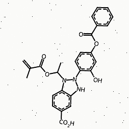 [CH2]C(OC(=O)C(=C)C)N1c2ccc(C(=O)O)cc2NN1c1ccc(OC(=O)c2ccccc2)cc1O